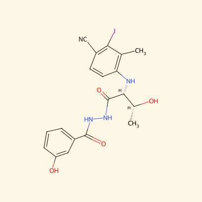 Cc1c(N[C@@H](C(=O)NNC(=O)c2cccc(O)c2)[C@@H](C)O)ccc(C#N)c1I